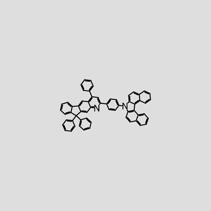 c1ccc(-c2cc(-c3ccc(-n4c5ccc6ccccc6c5c5c6ccccc6ccc54)cc3)nc3cc4c(cc23)-c2ccccc2C4(c2ccccc2)c2ccccc2)cc1